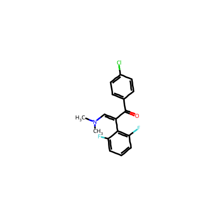 CN(C)C=C(C(=O)c1ccc(Cl)cc1)c1c(F)cccc1F